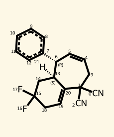 N#CC1(C#N)CC=C[C@@H](c2ccccc2)[C@@H]2CC(F)(F)CC=C21